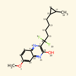 COc1ccc2nc(C(F)(F)CCCCC3CC3C)c(O)nc2c1